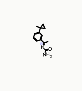 C/C(=N\C(N)=O)c1cccc(C2(C)CC2)c1